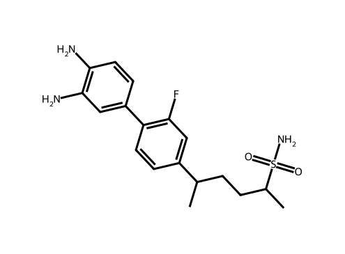 CC(CCC(C)S(N)(=O)=O)c1ccc(-c2ccc(N)c(N)c2)c(F)c1